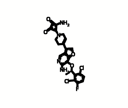 C[C@@H](Oc1c(N)ncc2c(C3=CCN(c4c(N)c(=O)c4=O)CC3)coc12)c1c(Cl)ccc(F)c1Cl